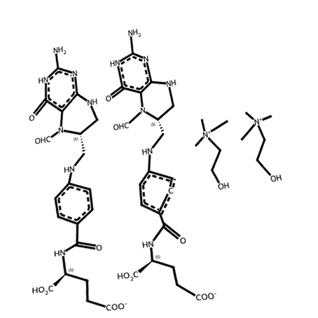 C[N+](C)(C)CCO.C[N+](C)(C)CCO.Nc1nc2c(c(=O)[nH]1)N(C=O)[C@@H](CNc1ccc(C(=O)N[C@@H](CCC(=O)[O-])C(=O)O)cc1)CN2.Nc1nc2c(c(=O)[nH]1)N(C=O)[C@@H](CNc1ccc(C(=O)N[C@@H](CCC(=O)[O-])C(=O)O)cc1)CN2